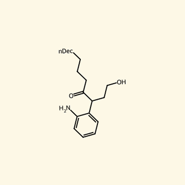 CCCCCCCCCCCCCC(=O)C(CCO)c1ccccc1N